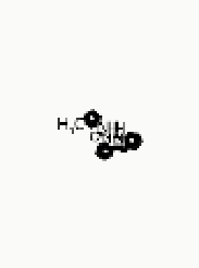 Cc1cccc(NC(=O)Nc2ccccc2C2Cc3ccccc3N2)c1